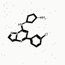 N[C@H]1CC[C@H](Nc2cc(-c3cccc(Cl)c3)nc3ccnn23)C1